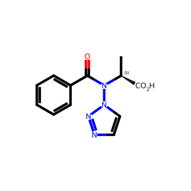 C[C@@H](C(=O)O)N(C(=O)c1ccccc1)n1ccnn1